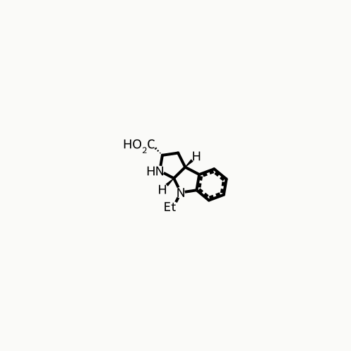 CCN1c2ccccc2[C@H]2C[C@@H](C(=O)O)N[C@H]21